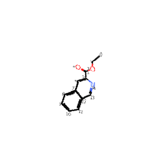 CCOC(=O)c1cc2ccccc2cn1